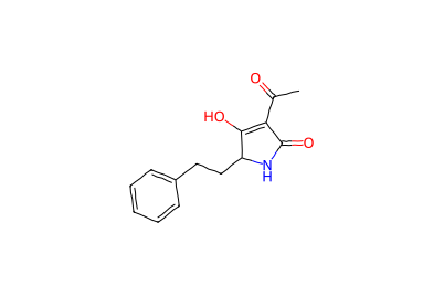 CC(=O)C1=C(O)C(CCc2ccccc2)NC1=O